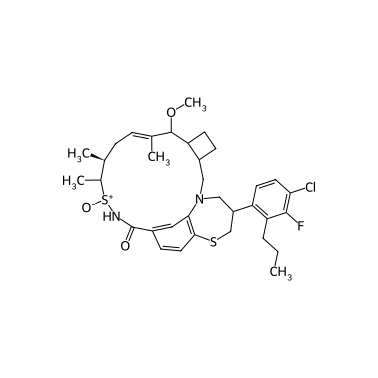 CCCc1c(C2CSc3ccc4cc3N(C2)CC2CCC2C(OC)/C(C)=C/C[C@H](C)C(C)[S+]([O-])NC4=O)ccc(Cl)c1F